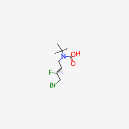 CC(C)(C)N(C/C=C(\F)CBr)C(=O)O